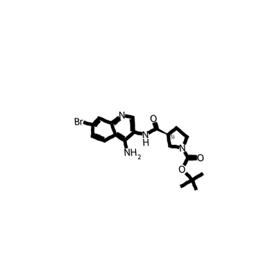 CC(C)(C)OC(=O)N1CC[C@H](C(=O)Nc2cnc3cc(Br)ccc3c2N)C1